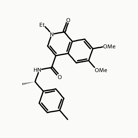 CCn1cc(C(=O)N[C@@H](C)c2ccc(C)cc2)c2cc(OC)c(OC)cc2c1=O